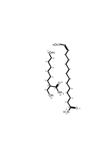 CCCCCCCC/C=C\CCCCCCCCCCCC(N)=O.CCCCCCCCCCCCCCCCC(CO)C(N)=O